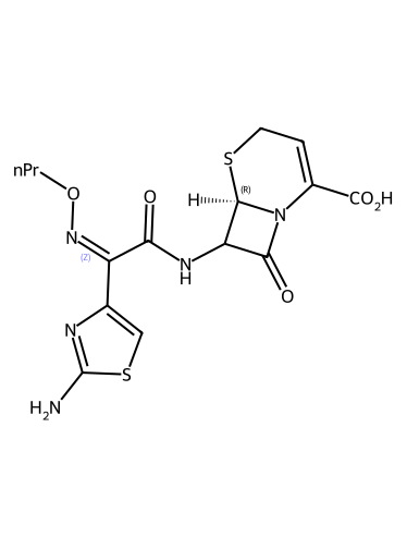 CCCO/N=C(\C(=O)NC1C(=O)N2C(C(=O)O)=CCS[C@H]12)c1csc(N)n1